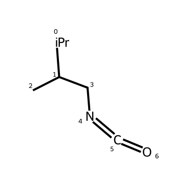 CC(C)C(C)CN=C=O